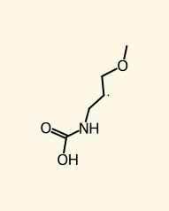 COC[CH]CNC(=O)O